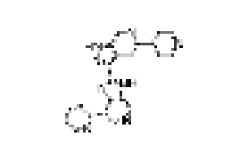 c1ccc(-c2cncc3[nH]c(-c4n[nH]c5cnc(-c6ccncc6)cc45)nc23)nc1